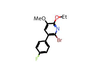 CCOc1nc(Br)c(-c2ccc(F)cc2)cc1OC